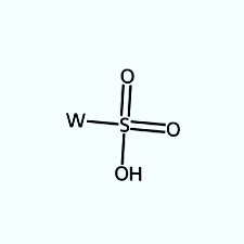 O=[S](=O)(O)[W]